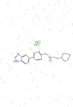 Cl.Cl.Fc1c(CNCCC2CCCCC2)ccc(-c2ccc3[nH]cnc3c2)c1F